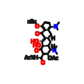 CCCCOc1ccc(N(C)C)c2c1C(=O)C1=C(O)[C@]3(O)C(=O)C(C(=O)NC(C)=O)=C(OC(C)=O)C(N(C)C)[C@@H]3C[C@@H]1C2